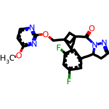 COc1ccnc(OCC23CC(C(=O)N4N=CCC4c4cc(F)cc(F)c4)(C2)C3)n1